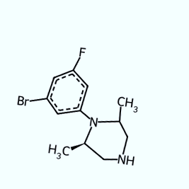 CC1CNC[C@@H](C)N1c1cc(F)cc(Br)c1